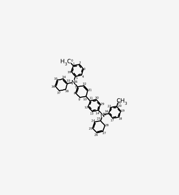 Cc1cccc(N(C2=CCC(c3ccc(N(c4cccc(C)c4)C4C=CC=CC4)cc3)C=C2)C2=CC=CCC2)c1